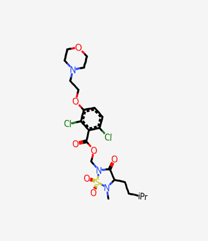 CC(C)CCC1C(=O)N(COC(=O)c2c(Cl)ccc(OCCN3CCOCC3)c2Cl)S(=O)(=O)N1C